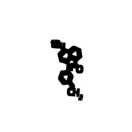 C=Cc1cccc(N2C(=O)c3cccc4c(C(C)(C)C)ccc2c34)c1